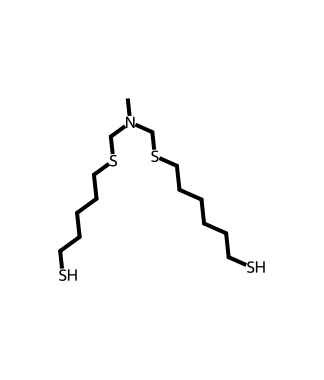 CN(CSCCCCCS)CSCCCCCCS